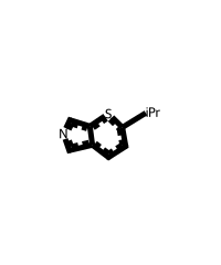 CC(C)c1ccc2cncc-2s1